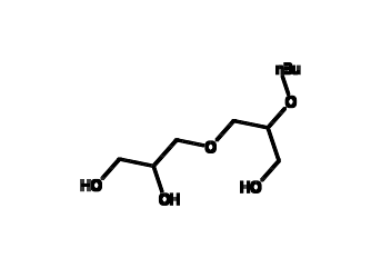 CCCCOC(CO)COCC(O)CO